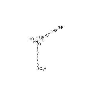 [N-]=[N+]=NCCOCCOCCOCCNC(=O)CCC(NC(=O)CCCCCCCCCCCCCCCS(=O)(=O)O)C(=O)O